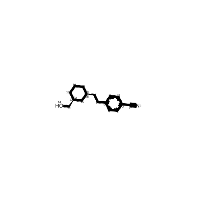 N#Cc1ccc(CC[C@@H]2CCC[C@H](CO)C2)cc1